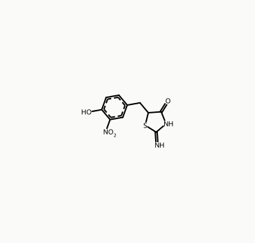 N=C1NC(=O)C(Cc2ccc(O)c([N+](=O)[O-])c2)S1